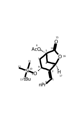 CCCC=C1[C@H]2C[C@@](OC(C)=O)(C[C@H]1O[Si](C)(C)C(C)(C)C)C(=O)O2